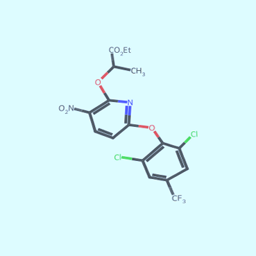 CCOC(=O)C(C)Oc1nc(Oc2c(Cl)cc(C(F)(F)F)cc2Cl)ccc1[N+](=O)[O-]